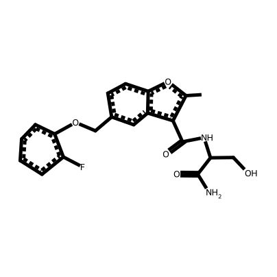 Cc1oc2ccc(COc3ccccc3F)cc2c1C(=O)NC(CO)C(N)=O